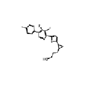 Cc1ccc(-c2ccc(-c3ccc(C4CC4CCCO)s3)c(F)c2F)cc1